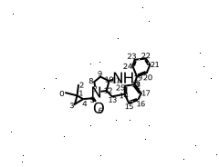 CC1(C)CC1C(=O)N1CCC(N)C1Cc1cccc(-c2ccccc2)c1